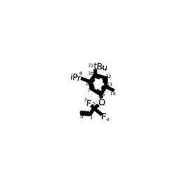 C=CC(F)(F)Oc1cc(C(C)C)c(C(C)(C)C)cc1C